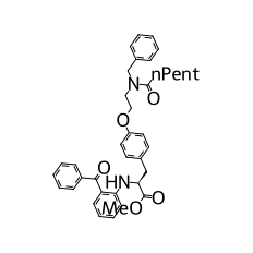 CCCCCC(=O)N(CCOc1ccc(C[C@H](Nc2ccccc2C(=O)c2ccccc2)C(=O)OC)cc1)Cc1ccccc1